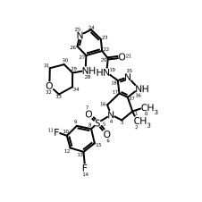 CC1(C)CN(S(=O)(=O)c2cc(F)cc(F)c2)Cc2c(NC(=O)c3ccncc3NC3CCOCC3)n[nH]c21